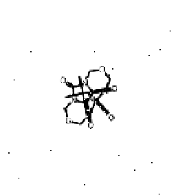 O=C1N2COCN3C(=O)N4COCN1[C@]41C(=O)NC(=O)[C@]231